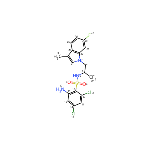 Cc1cn(CC(NS(=O)(=O)c2c(N)cc(Cl)cc2Cl)C(F)(F)F)c2cc(F)ccc12